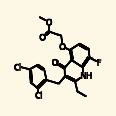 CCc1[nH]c2c(F)ccc(OCC(=O)OC)c2c(=O)c1Cc1ccc(Cl)cc1Cl